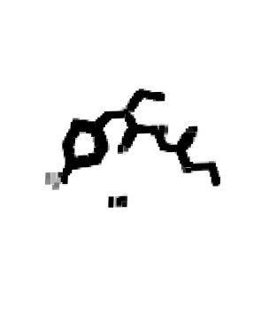 CCOC(=O)CNC(=O)N(CC)Cc1ccc(N)cc1.Cl